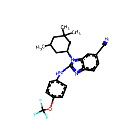 CC1CC(n2c(Nc3ccc(OC(F)(F)F)cc3)nc3ccc(C#N)cc32)CC(C)(C)C1